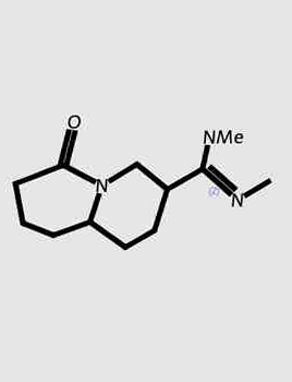 C/N=C(\NC)C1CCC2CCCC(=O)N2C1